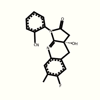 Cc1cc2c(cc1F)C[C@]1(O)CC(=O)N(c3ccccc3C#N)C1=N2